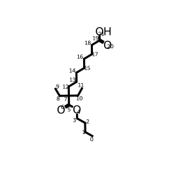 CCCCOC(=O)C(CC)(CC)CCCCCCCC(=O)O